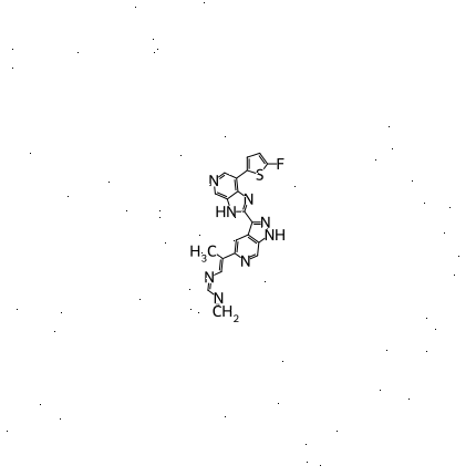 C=N/C=N\C=C(/C)c1cc2c(-c3nc4c(-c5ccc(F)s5)cncc4[nH]3)n[nH]c2cn1